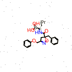 CC(C)C[C@H](NC(=O)C1(Cc2ccccc2)CC(COc2ccccc2)=NO1)B(O)O